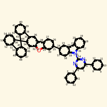 c1ccc(-c2cc(-c3ccccc3)nc(-n3c4ccccc4c4cc(-c5ccc6c(c5)oc5cc7c(cc56)-c5ccccc5C75c6ccccc6-c6ccccc65)ccc43)n2)cc1